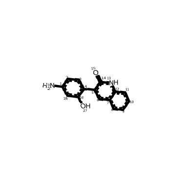 Nc1ccc(-c2cc3ccccc3[nH]c2=O)c(O)c1